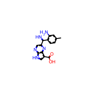 Cc1ccc(C(=N)c2cnc3[nH]cc(C(=O)O)c3n2)c(N)c1